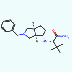 CC(C)(C)[C@H](N[C@H]1CC[C@@H]2CN(Cc3ccccc3)C[C@@H]21)C(N)=O